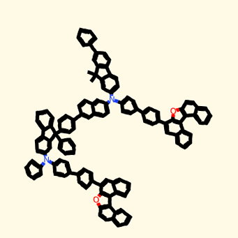 CC1(C)c2cc(-c3ccccc3)ccc2-c2ccc(N(c3ccc(-c4ccc(-c5cc6ccccc6c6c5oc5ccc7ccccc7c56)cc4)cc3)c3ccc4cc(-c5ccc(C6(c7ccccc7)c7ccccc7-c7ccc(N(c8ccccc8)c8ccc(-c9ccc(-c%10cc%11ccccc%11c%11c%10oc%10ccc%12ccccc%12c%10%11)cc9)cc8)cc76)cc5)ccc4c3)cc21